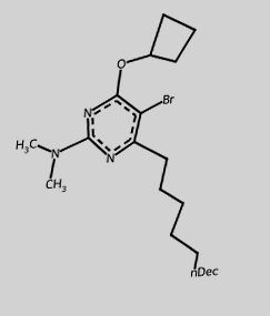 CCCCCCCCCCCCCCCc1nc(N(C)C)nc(OC2CCC2)c1Br